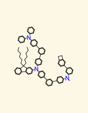 CCCCCCC1(CCCCCC)c2ccccc2-c2ccc(N(c3ccc(-c4cccc(-c5ccc(N(C)c6cccc(-c7ccc8c(c7)CC8)c6)cc5)c4)cc3)c3ccc(-c4cccc(-c5ccc(N(c6ccccc6)c6ccccc6)cc5)c4)cc3)cc21